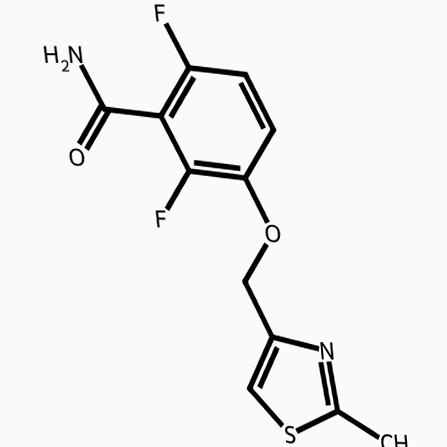 Cc1nc(COc2ccc(F)c(C(N)=O)c2F)cs1